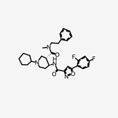 CN(CCc1ccccc1)C(=O)[C@H]1CN(C2CCCCC2)CC[C@@H]1NC(=O)c1cc(-c2ccc(F)cc2F)on1